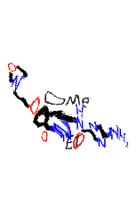 CCn1c(NC(=O)c2cnc(N)cn2)cc2c(OC)c(OCCCN3CCOCC3)ccc2c1=O